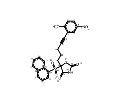 Cc1ccc([N+](=O)[O-])cc1C#CCCCC1(S(=O)(=O)c2cccc3ccccc23)SC(=O)NC1=O